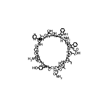 CCCC[C@H]1C(=O)N(C)[C@@H](CCCC)C(=O)N[C@@H](CC(C)C)C(=O)N[C@H](C(=O)NCC(N)=O)CSCC(=O)N[C@@H](Cc2ccc(O)cc2)C(=O)N(C)[C@@H](C)C(=O)N[C@@H](CC(N)=O)C(=O)N2CCCC2C(=O)N[C@@H](CNc2cnccn2)C(=O)N[C@@H](CC(C)C)C(=O)N2C[C@H](O)CC2C(=O)N[C@@H](Cc2c[nH]c3ccccc23)C(=O)NC(N)C(=O)N[C@@H](Cc2cn(CC(=O)O)c3ccccc23)C(=O)N1C